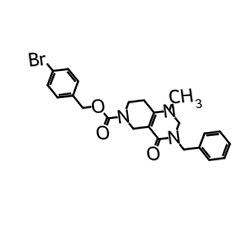 CN1CN(Cc2ccccc2)C(=O)C2=C1CCN(C(=O)OCc1ccc(Br)cc1)C2